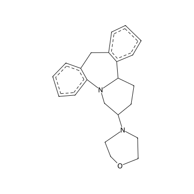 c1ccc2c(c1)Cc1ccccc1N1CC(N3CCOCC3)CCC21